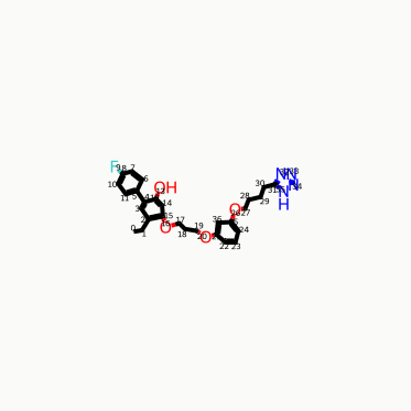 CCc1cc(-c2ccc(F)cc2)c(O)cc1OCCCOc1[c]ccc(OCCCCc2nnn[nH]2)c1